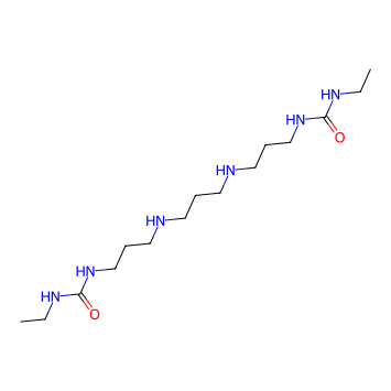 CCNC(=O)NCCCNCCCNCCCNC(=O)NCC